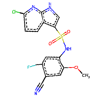 COc1cc(C#N)c(F)cc1NS(=O)(=O)c1c[nH]c2nc(Cl)ccc12